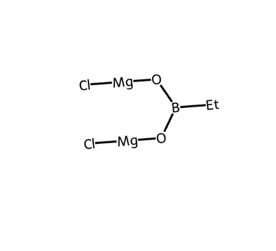 CCB([O][Mg][Cl])[O][Mg][Cl]